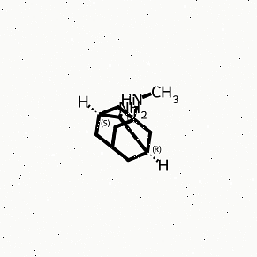 CN[C@]12CC3C[C@H](C1)C(N)[C@@H](C3)C2